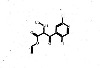 C=COC(=O)C(NCC)C(=O)c1cc(Cl)ncc1Cl